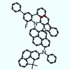 CC1(C)c2cccc3ccc4cc(N(c5ccccc5)c5ccc6ccc7c(N(c8c(F)cc(-c9ccccc9)cc8-c8ccccc8)c8cccc9c8oc8ccccc89)ccc8ccc5c6c87)cc1c4c23